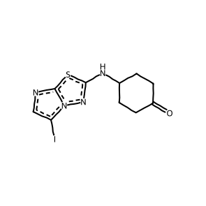 O=C1CCC(Nc2nn3c(I)cnc3s2)CC1